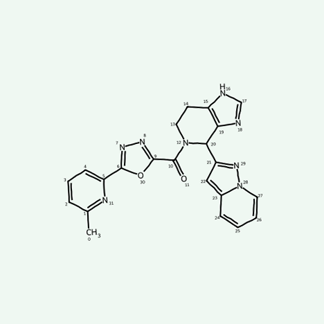 Cc1cccc(-c2nnc(C(=O)N3CCc4[nH]cnc4C3c3cc4ccccn4n3)o2)n1